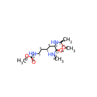 C=C(NC(CCCCNC(=O)OC)C(=O)NC)OC